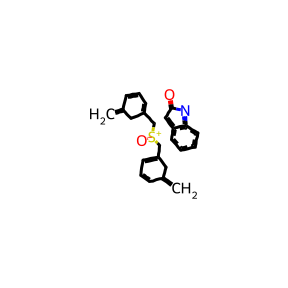 C=C1C=CC=C(C[S+]([O-])CC2=CC=CC(=C)C2)C1.O=C1C=c2ccccc2=N1